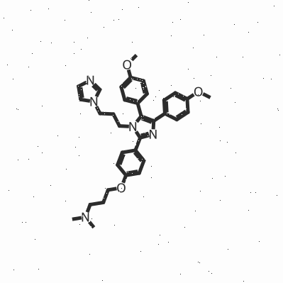 COc1ccc(-c2nc(-c3ccc(OCCCN(C)C)cc3)n(CCCn3ccnc3)c2-c2ccc(OC)cc2)cc1